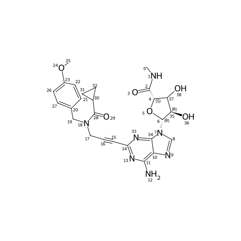 CNC(=O)[C@H]1O[C@@H](n2cnc3c(N)nc(C#CCN(Cc4ccc(OC)cc4)C(=O)C4CC4)nc32)[C@H](O)C1O